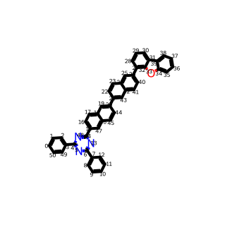 c1ccc(-c2nc(-c3ccccc3)nc(-c3ccc4cc(-c5ccc6cc(-c7cccc8c7oc7ccccc78)ccc6c5)ccc4c3)n2)cc1